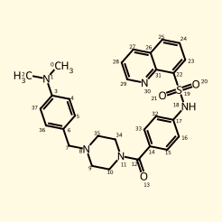 CN(C)c1ccc(CN2CCN(C(=O)c3ccc(NS(=O)(=O)c4cccc5cccnc45)cc3)CC2)cc1